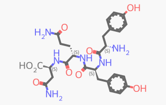 NC(=O)CC[C@H](NC(=O)[C@H](Cc1ccc(O)cc1)NC(=O)[C@@H](N)Cc1ccc(O)cc1)C(=O)N[C@@H](CC(N)=O)C(=O)O